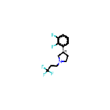 Fc1cccc([C@@H]2CCN(CCC(F)(F)F)C2)c1F